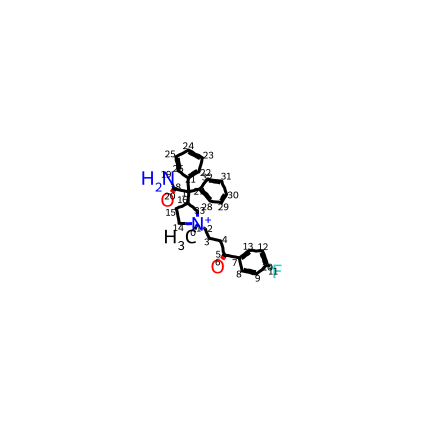 C[N+]1(CCCC(=O)c2ccc(F)cc2)CCC(C(C(N)=O)(c2ccccc2)c2ccccc2)C1